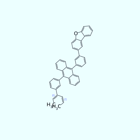 C/C=C\C(=C/C)c1cccc(-c2c3ccccc3c(-c3cccc(-c4ccc5oc6ccccc6c5c4)c3)c3ccccc23)c1